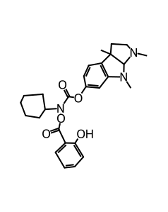 CN1CCC2(C)c3ccc(OC(=O)N(OC(=O)c4ccccc4O)C4CCCCC4)cc3N(C)C12